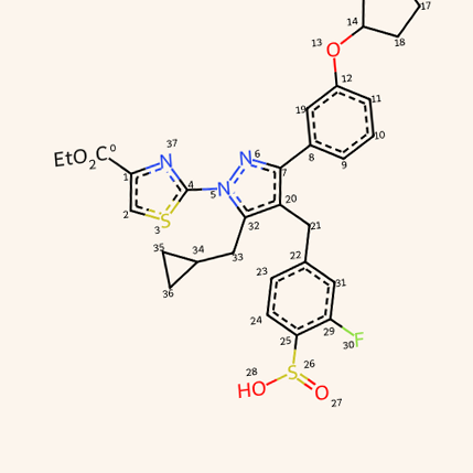 CCOC(=O)c1csc(-n2nc(-c3cccc(OC4CCCC4)c3)c(Cc3ccc(S(=O)O)c(F)c3)c2CC2CC2)n1